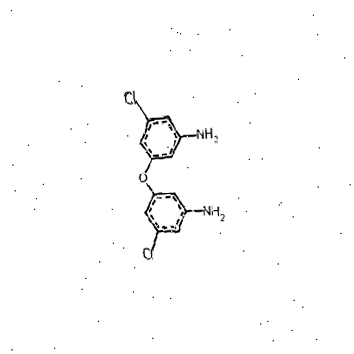 Nc1cc(Cl)cc(Oc2cc(N)cc(Cl)c2)c1